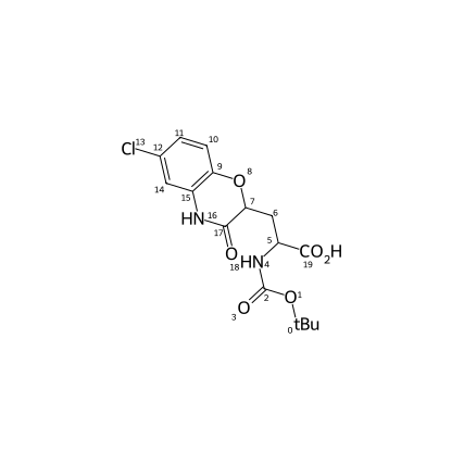 CC(C)(C)OC(=O)NC(CC1Oc2ccc(Cl)cc2NC1=O)C(=O)O